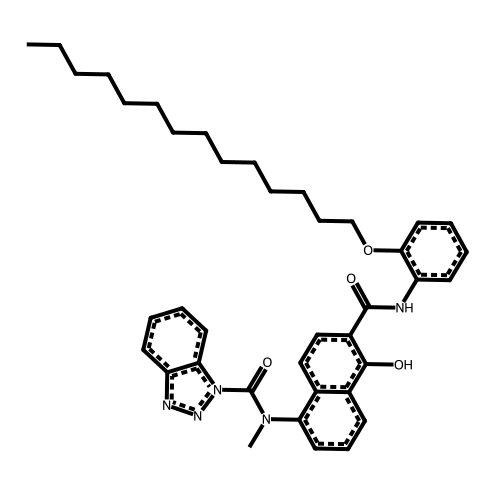 CCCCCCCCCCCCCCOc1ccccc1NC(=O)c1ccc2c(N(C)C(=O)n3nnc4ccccc43)cccc2c1O